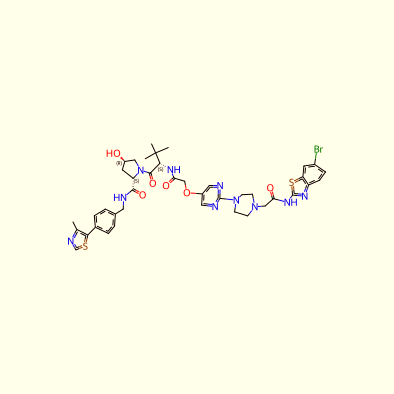 Cc1ncsc1-c1ccc(CNC(=O)[C@@H]2C[C@@H](O)CN2C(=O)[C@@H](NC(=O)COc2cnc(N3CCN(CC(=O)Nc4nc5ccc(Br)cc5s4)CC3)nc2)C(C)(C)C)cc1